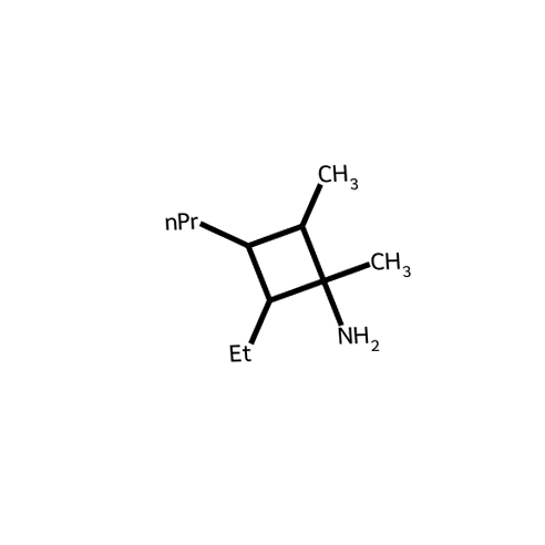 CCCC1C(C)C(C)(N)C1CC